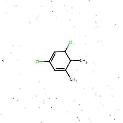 CC1=CC(Cl)=CC(Cl)C1C